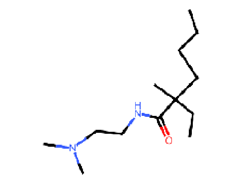 CCCCC(C)(CC)C(=O)NCCN(C)C